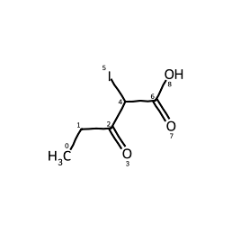 CCC(=O)C(I)C(=O)O